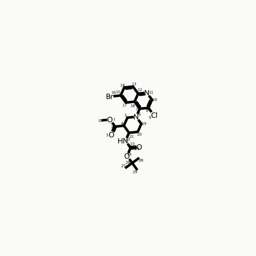 COC(=O)C1CN(c2c(Cl)cnc3ccc(Br)cc23)CCC1NC(=O)OC(C)(C)C